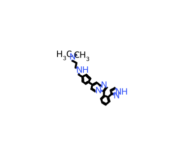 CN(C)CCCNCc1ccc(-c2ccn3c(-c4ccccc4-c4cc[nH]n4)cnc3c2)cc1